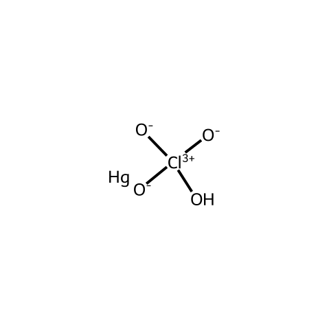 [Hg].[O-][Cl+3]([O-])([O-])O